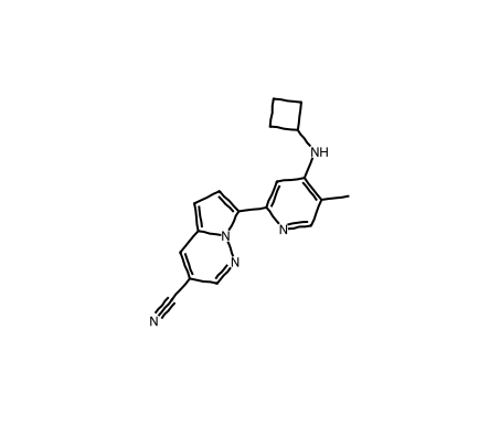 Cc1cnc(-c2ccc3cc(C#N)cnn23)cc1NC1CCC1